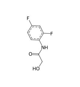 O=C(CO)Nc1ccc(F)cc1F